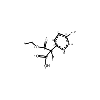 CCOC(=O)C(F)(C(=O)O)c1ccc(Cl)nn1